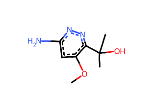 COc1cc(N)nnc1C(C)(C)O